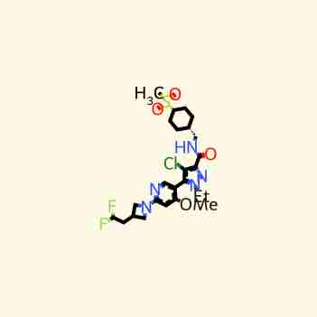 CCn1nc(C(=O)NC[C@H]2CC[C@H](S(C)(=O)=O)CC2)c(Cl)c1-c1cnc(N2CC(CC(F)F)C2)cc1OC